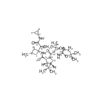 CC1CC(NC(=O)[C@@H]2[C@@H]3[C@H](CN2C(=O)[C@@H](NC(=O)OC(C)(C)C)C(C)(C)C)C3(C)C)(C(=O)C(=O)NC2CC2)C1